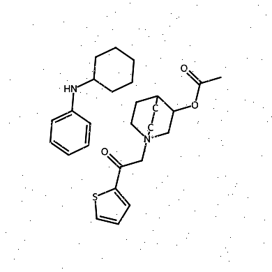 CC(=O)OC1C[N+]2(CC(=O)c3cccs3)CCC1CC2.c1ccc(NC2CCCCC2)cc1